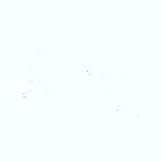 O=C1c2c(Cl)cc(F)cc2CN1Cc1ccc(F)cc1